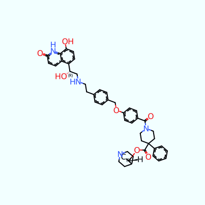 O=C(c1ccc(OCc2ccc(CCNC[C@H](O)c3ccc(O)c4[nH]c(=O)ccc34)cc2)cc1)N1CCC(C(=O)O[C@H]2CN3CCC2CC3)(c2ccccc2)CC1